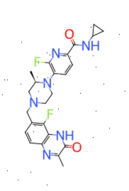 Cc1nc2ccc(CN3CCN(c4ccc(C(=O)NC5CC5)nc4F)[C@H](C)C3)c(F)c2[nH]c1=O